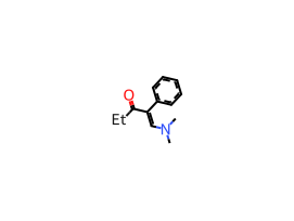 CCC(=O)/C(=C/N(C)C)c1ccccc1